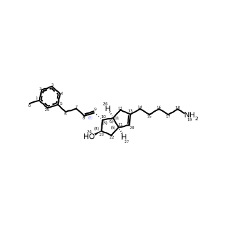 Cc1cccc(CC/C=C/[C@@H]2[C@H]3CC(CCCCCN)=C[C@H]3C[C@H]2O)c1